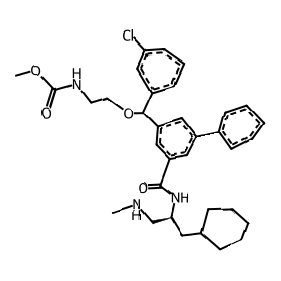 CNC[C@H](CC1CCCCC1)NC(=O)c1cc(-c2ccccc2)cc(C(OCCNC(=O)OC)c2cccc(Cl)c2)c1